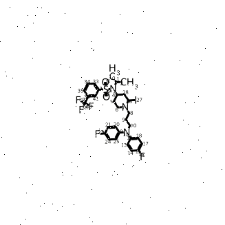 CC(C)N(C1CCN(CCCN(c2ccc(F)cc2)c2ccc(F)cc2)C(I)C1)S(=O)(=O)c1cccc(C(F)(F)F)c1